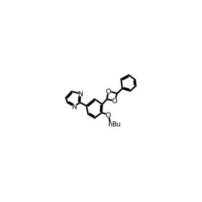 CCCCOc1ccc(-c2ncccn2)cc1C1OC(c2ccccc2)O1